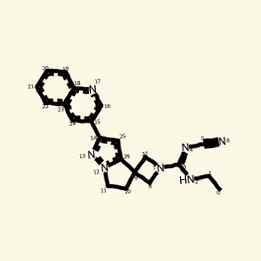 CCNC(=NC#N)N1CC2(CCn3nc(-c4cnc5ccccc5c4)cc32)C1